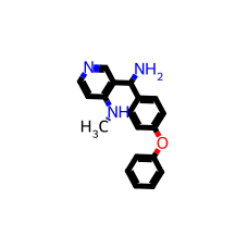 CNc1ccncc1C(N)c1ccc(Oc2ccccc2)cc1